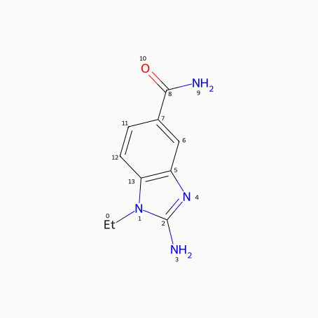 CCn1c(N)nc2cc(C(N)=O)ccc21